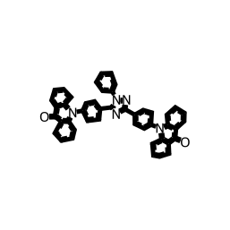 O=c1c2ccccc2n(-c2ccc(-c3nc(-c4ccc(-n5c6ccccc6c(=O)c6ccccc65)cc4)n(-c4ccccc4)n3)cc2)c2ccccc12